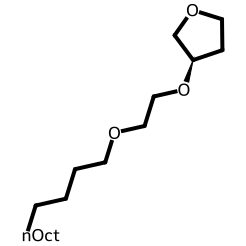 CCCCCCCCCCCCOCCO[C@@H]1CCOC1